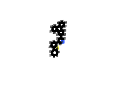 C1=CC=c2sc3c(-c4cncc(-c5ccc6c7ccccc7c7ccccc7c6c5)c4)cccc3c2=CC=1